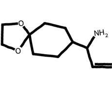 C=CC(N)C1CCC2(CC1)OCCO2